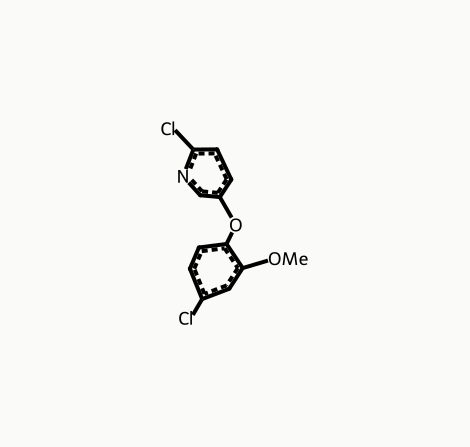 COc1cc(Cl)ccc1Oc1ccc(Cl)nc1